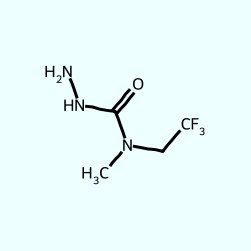 CN(CC(F)(F)F)C(=O)NN